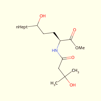 CCCCCCCC(O)CC[C@H](NC(=O)CC(C)(C)O)C(=O)OC